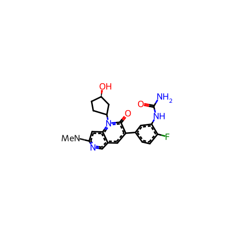 CNc1cc2c(cn1)cc(-c1ccc(F)c(NC(N)=O)c1)c(=O)n2C1CC[C@@H](O)C1